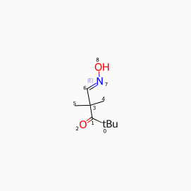 CC(C)(C)C(=O)C(C)(C)/C=N/O